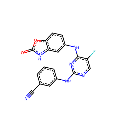 N#Cc1cccc(Nc2ncc(F)c(Nc3ccc4oc(=O)[nH]c4c3)n2)c1